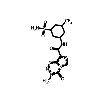 Cn1nnc2c(C(=O)NC3CC(C(F)(F)F)CC(S(N)(=O)=O)C3)ncn2c1=O